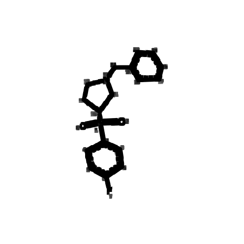 O=S(=O)(c1ccc(F)cc1)[C@H]1CCN(Cc2ccccc2)C1